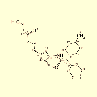 CCOC(=O)CCSc1cnc(NC(=O)N(C2CCCCC2)[C@H]2CC[C@H](C)CC2)s1